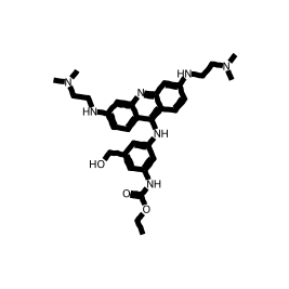 CCOC(=O)Nc1cc(CO)cc(Nc2c3ccc(NCCN(C)C)cc3nc3cc(NCCN(C)C)ccc23)c1